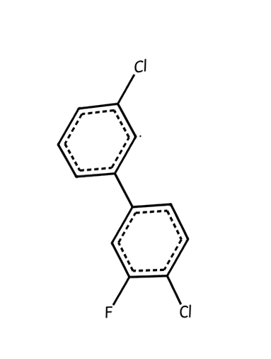 Fc1cc(-c2[c]c(Cl)ccc2)ccc1Cl